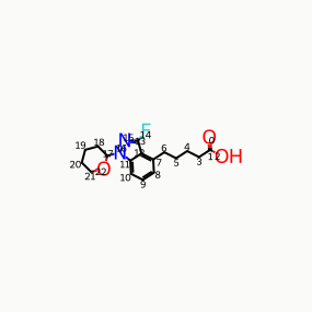 O=C(O)CCCCc1cccc2c1c(F)nn2C1CCCCO1